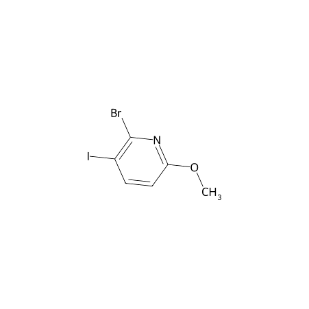 COc1ccc(I)c(Br)n1